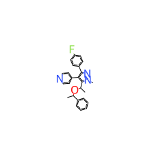 CC(OC(C)c1c(-c2ccncc2)c(-c2ccc(F)cc2)nn1C)c1ccccc1